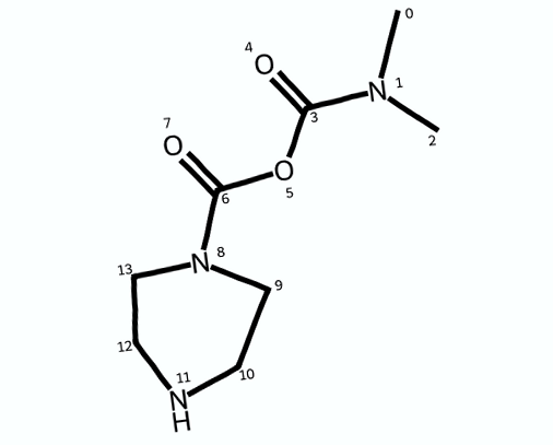 CN(C)C(=O)OC(=O)N1CCNCC1